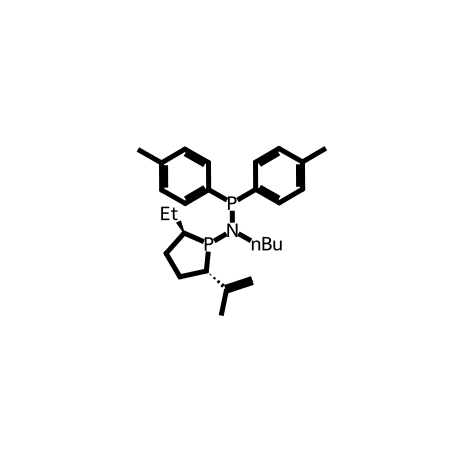 C=C(C)[C@@H]1CC[C@@H](CC)P1N(CCCC)P(c1ccc(C)cc1)c1ccc(C)cc1